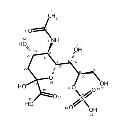 CC(=O)N[C@H]1[C@H]([C@H](O)[C@@H](CO)OS(=O)(=O)O)OC(O)(C(=O)O)C[C@@H]1O